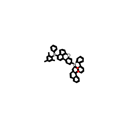 Cc1cc(C)c(B(c2ccccc2)c2ccc3c4c(cccc24)Oc2cc(N(c4ccc5c(ccc6ccccc65)c4)c4ccccc4-c4ccccc4)ccc2-3)c(C)c1